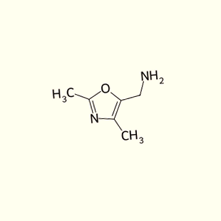 Cc1nc(C)c(CN)o1